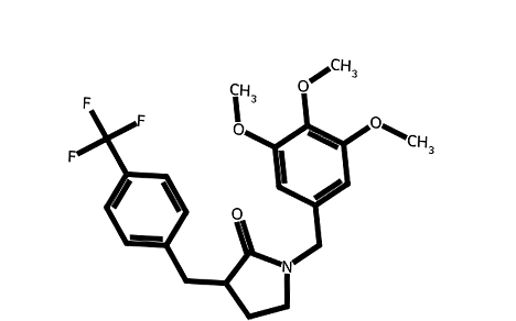 COc1cc(CN2CCC(Cc3ccc(C(F)(F)F)cc3)C2=O)cc(OC)c1OC